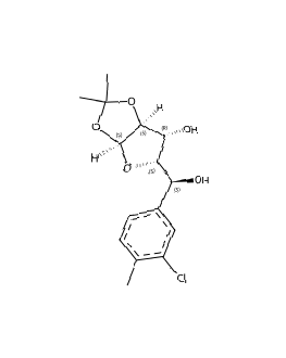 Cc1ccc([C@H](O)[C@@H]2O[C@H]3OC(C)(C)O[C@H]3[C@@H]2O)cc1Cl